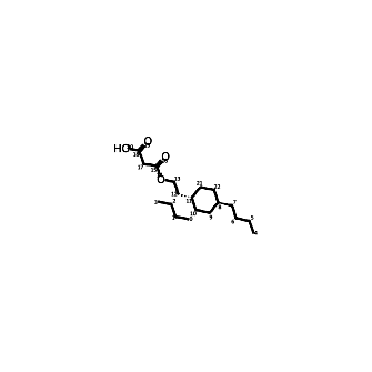 CCCC.CCCC[C@H]1CC[C@H](CCOC(=O)CC(=O)O)CC1